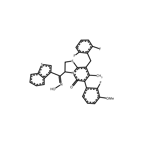 COc1cccc(-c2c(C)c(Cc3c(F)cccc3F)c3n(c2=O)C(C(=NO)c2csc4ccccc24)CS3)c1F